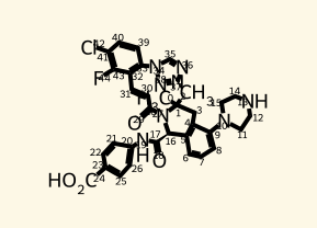 CC1(C)Cc2c(cccc2N2CCNCC2)[C@@H](C(=O)Nc2ccc(C(=O)O)cc2)N1C(=O)C=Cc1c(-n2cnnn2)ccc(Cl)c1F